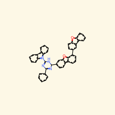 c1ccc(C2=NC(c3ccc4c(c3)oc3c(-c5ccc6oc7ccccc7c6c5)cccc34)NC(n3c4ccccc4c4ccccc43)=N2)cc1